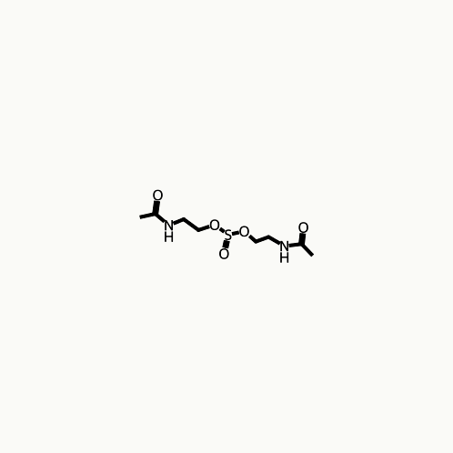 CC(=O)NCCOS(=O)OCCNC(C)=O